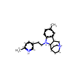 Cc1ccc2c(c1)C1CN3CCC(CC3)C1N2CCc1ccc(C)nc1